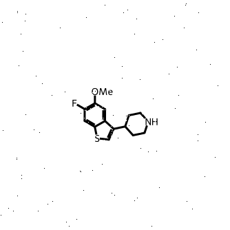 COc1cc2c(C3CCNCC3)csc2cc1F